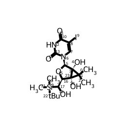 CC1(C)[C@]2(O)[C@H](n3cc(I)c(=O)[nH]c3=O)O[C@H](C(O)[Si](C)(C)C(C)(C)C)[C@]12O